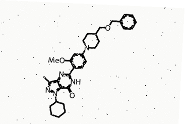 COc1cc(N2CCC(COCc3ccccc3)CC2)ccc1-c1nc2c(C)nn(C3CCCCC3)c2c(=O)[nH]1